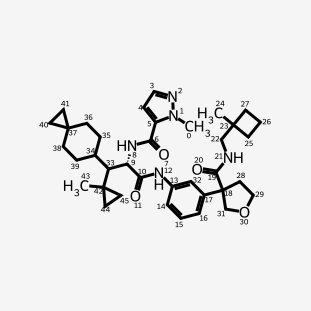 Cn1nccc1C(=O)N[C@H](C(=O)Nc1cccc(C2(C(=O)NCC3(C)CCC3)CCOC2)c1)C(C1CCC2(CC1)CC2)C1(C)CC1